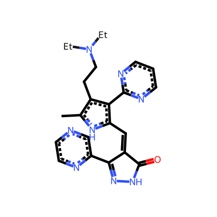 CCN(CC)CCc1c(C)[nH]c(/C=C2/C(=O)NN=C2c2cnccn2)c1-c1ncccn1